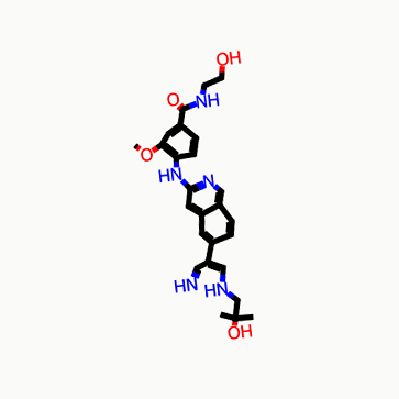 COc1cc(C(=O)NCCO)ccc1Nc1cc2cc(/C(C=N)=C/NCC(C)(C)O)ccc2cn1